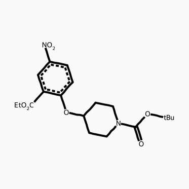 CCOC(=O)c1cc([N+](=O)[O-])ccc1OC1CCN(C(=O)OC(C)(C)C)CC1